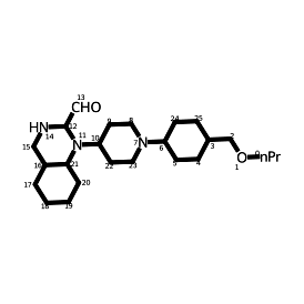 CCCOCC1CCC(N2CCC(N3C(C=O)NCC4CCCCC43)CC2)CC1